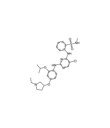 CCN1CCC(Oc2ccc(Nc3ncc(Cl)c(Nc4ccccc4S(=O)(=O)NC)n3)c(OC(C)C)c2)C1